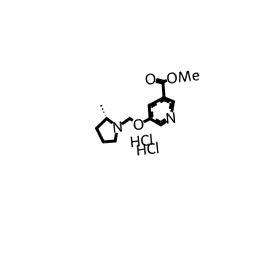 COC(=O)c1cncc(OCN2CCC[C@@H]2C)c1.Cl.Cl